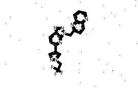 FC(F)(F)Cn1cc(-c2ccc3nnn(Cc4ccc5ncccc5n4)c3n2)cn1